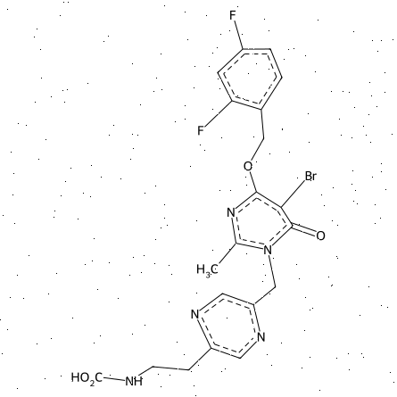 Cc1nc(OCc2ccc(F)cc2F)c(Br)c(=O)n1Cc1cnc(CCNC(=O)O)cn1